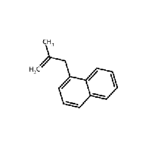 C=C(C)[CH]c1cccc2ccccc12